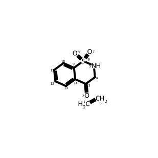 C=C.O=C1CNS(=O)(=O)c2ccccc21